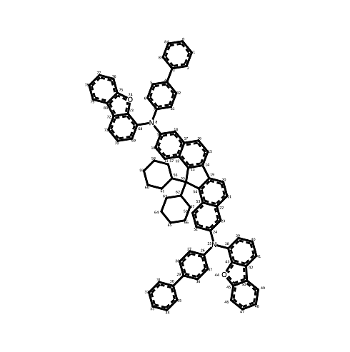 c1ccc(-c2ccc(N(c3ccc4c5c(ccc4c3)-c3ccc4cc(N(c6ccc(-c7ccccc7)cc6)c6cccc7c6oc6ccccc67)ccc4c3C5(C3CCCCC3)C3CCCCC3)c3cccc4c3oc3ccccc34)cc2)cc1